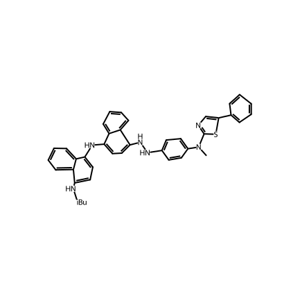 CCC(C)Nc1ccc(Nc2ccc(NNc3ccc(N(C)c4ncc(-c5ccccc5)s4)cc3)c3ccccc23)c2ccccc12